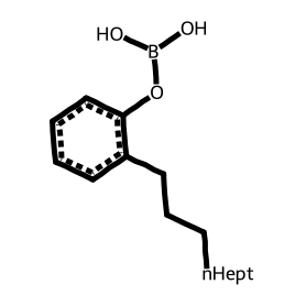 CCCCCCCCCCc1ccccc1OB(O)O